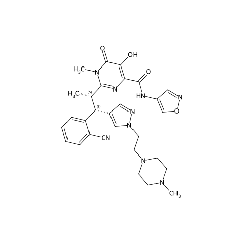 C[C@H](c1nc(C(=O)Nc2cnoc2)c(O)c(=O)n1C)[C@H](c1cnn(CCN2CCN(C)CC2)c1)c1ccccc1C#N